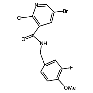 COc1ccc(CNC(=O)c2cc(Br)cnc2Cl)cc1F